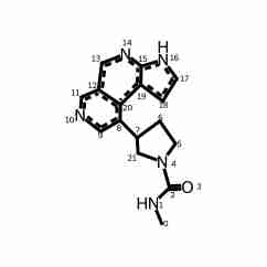 CNC(=O)N1CCC(c2cncc3cnc4[nH]ccc4c23)C1